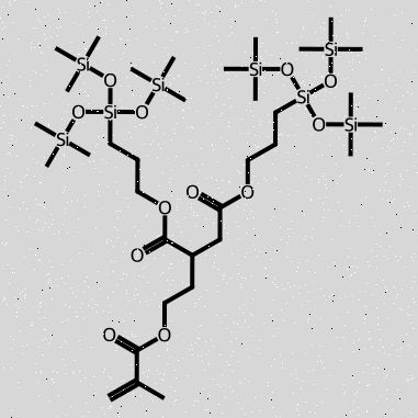 C=C(C)C(=O)OCCC(CC(=O)OCCC[Si](O[Si](C)(C)C)(O[Si](C)(C)C)O[Si](C)(C)C)C(=O)OCCC[Si](O[Si](C)(C)C)(O[Si](C)(C)C)O[Si](C)(C)C